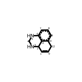 C1=CC2NCNc3cccc(c32)C1